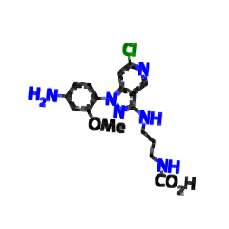 COc1cc(N)ccc1-n1nc(NCCCNC(=O)O)c2cnc(Cl)cc21